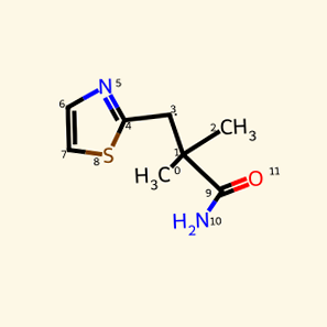 CC(C)([CH]c1nccs1)C(N)=O